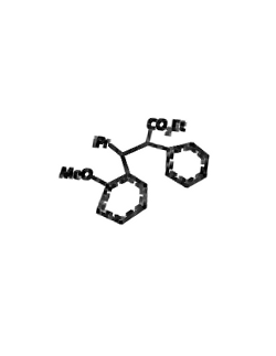 CCOC(=O)C(c1ccccc1)C(c1ccccc1OC)C(C)C